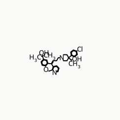 CC(O)C1(c2ccc(Cl)cc2)CCN(CC/C=C2/c3cc(C(C)(C)O)ccc3OCc3ncccc32)CC1